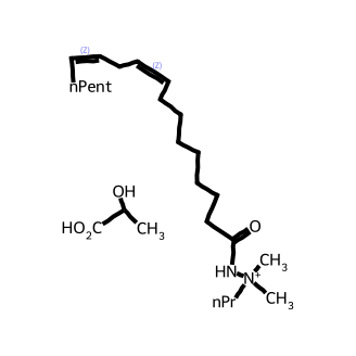 CC(O)C(=O)O.CCCCC/C=C\C/C=C\CCCCCCCC(=O)N[N+](C)(C)CCC